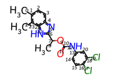 Cc1ccc2nc(C(C)OC(=O)Nc3ccc(Cl)c(Cl)c3)[nH]c2c1C